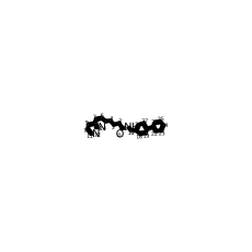 O=C(CCCc1ccc2cccnc2n1)NCc1ccc(-c2ccccc2)cc1